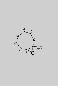 CCC12CCCCCCC1O2